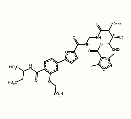 CCCCCC(C(=O)NCNC(=O)c1ccc(-c2ccc(C(=O)NC(CC(=O)O)C(=O)O)c(OCC(=O)O)c2)o1)[C@@H](CC)N(C=O)OC(=O)c1c(C)noc1C